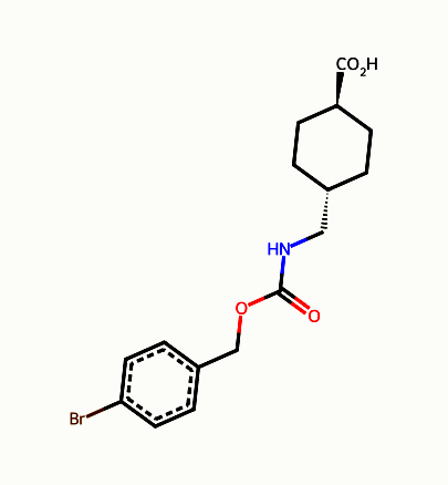 O=C(NC[C@H]1CC[C@H](C(=O)O)CC1)OCc1ccc(Br)cc1